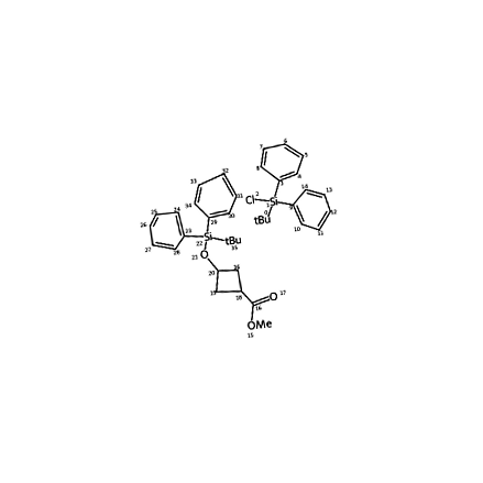 CC(C)(C)[Si](Cl)(c1ccccc1)c1ccccc1.COC(=O)C1CC(O[Si](c2ccccc2)(c2ccccc2)C(C)(C)C)C1